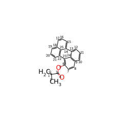 C=C(C)C(=O)Oc1ccc2cccc3c4cccc5cccc(c1c23)c54